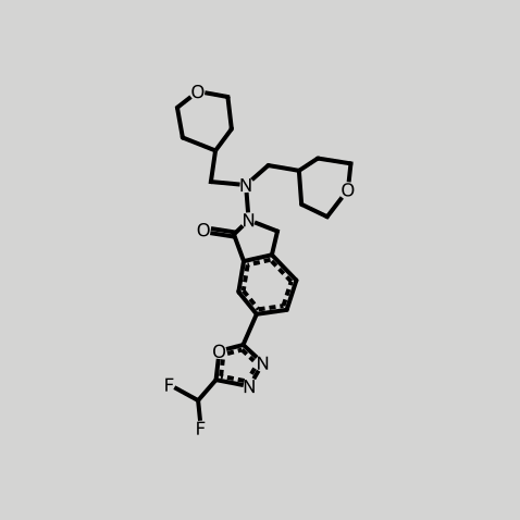 O=C1c2cc(-c3nnc(C(F)F)o3)ccc2CN1N(CC1CCOCC1)CC1CCOCC1